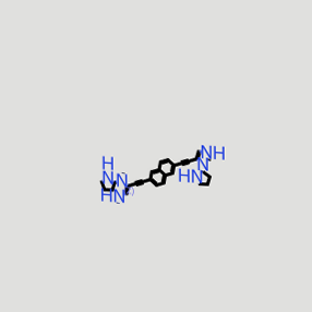 CN/C=C(/C#Cc1ccc2cc(C#CC3=CNCN3C3CCCN3)ccc2c1)N(C)C1CCCN1